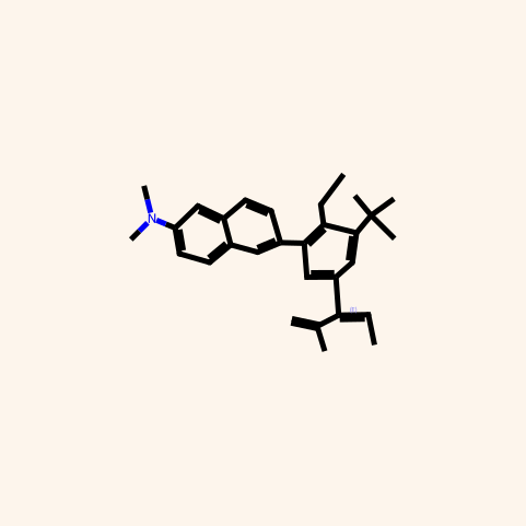 C=C(C)/C(=C\C)c1cc(-c2ccc3cc(N(C)C)ccc3c2)c(CC)c(C(C)(C)C)c1